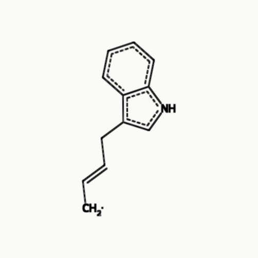 [CH2]C=CCc1c[nH]c2ccccc12